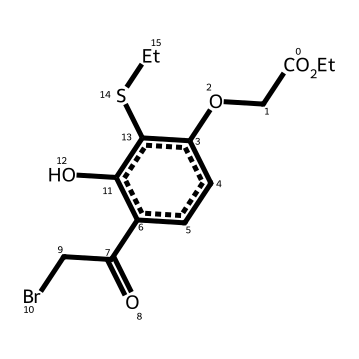 CCOC(=O)COc1ccc(C(=O)CBr)c(O)c1SCC